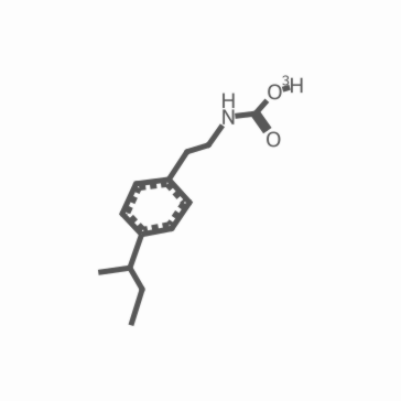 [3H]OC(=O)NCCc1ccc(C(C)CC)cc1